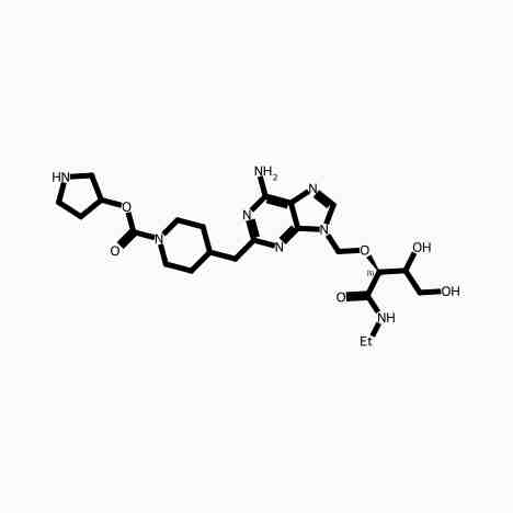 CCNC(=O)[C@@H](OCn1cnc2c(N)nc(CC3CCN(C(=O)OC4CCNC4)CC3)nc21)C(O)CO